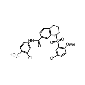 COc1ccc(Cl)cc1S(=O)(=O)N1CCCc2ccc(C(=O)Nc3ccc(C(=O)O)c(Cl)c3)cc21